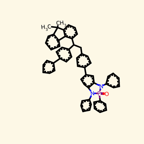 CC1(C)c2ccccc2-c2c(C(Cc3ccc(-c4ccc5c(c4)N(c4ccccc4)P(=O)(c4ccccc4)N5c4ccccc4)cc3)c3ccc(-c4ccccc4)cc3)cccc21